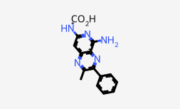 Cc1nc2cc(NC(=O)O)nc(N)c2nc1-c1ccccc1